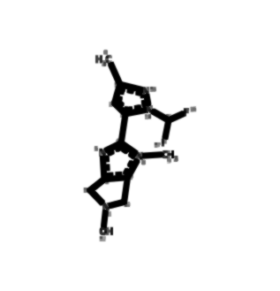 Cc1cc(-c2nc3c(n2C)CN(O)C3)n(C(F)F)n1